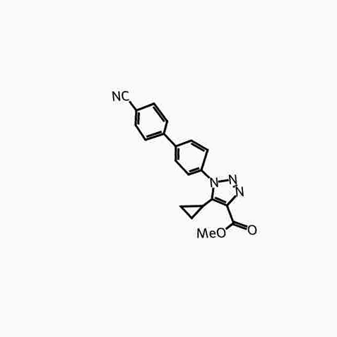 COC(=O)c1nnn(-c2ccc(-c3ccc(C#N)cc3)cc2)c1C1CC1